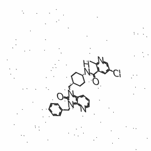 Cc1ncc(Cl)cc1C(=O)N[C@H]1CC[C@H](Cn2c(=O)n(Cc3ccccc3)c3ncccc32)CC1